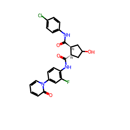 O=C(Nc1ccc(Cl)cc1)[C@H]1CC(O)C[C@@H]1C(=O)Nc1ccc(-n2ccccc2=O)cc1F